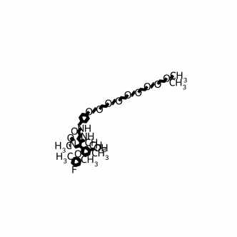 Cc1cc(F)cc(C)c1Oc1ccc(C(C)(C)O)cc1/C(=C/N(C)C=O)c1cc(C(=O)NCc2ccc(OCCOCCOCCOCCOCCOCCOCCOCCOC(C)C)cc2)[nH]c1C